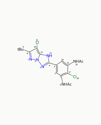 CC(=O)Nc1cc(-c2nn3nc(C(C)(C)C)c(Cl)c3[nH]2)cc(NC(C)=O)c1Cl